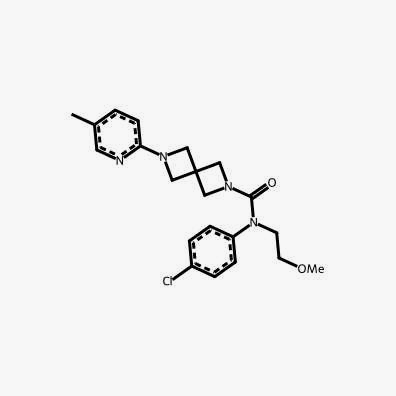 COCCN(C(=O)N1CC2(C1)CN(c1ccc(C)cn1)C2)c1ccc(Cl)cc1